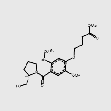 CCOC(=O)Nc1cc(OCCCC(=O)OC)c(OC)cc1C(=O)N1CCC[C@H]1CO